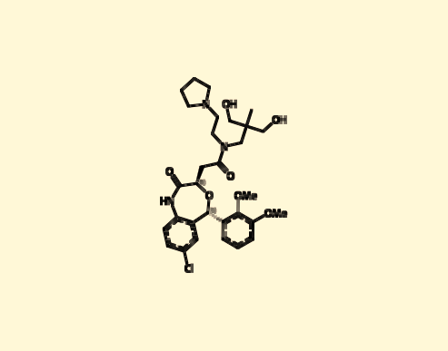 COc1cccc([C@H]2O[C@H](CC(=O)N(CCN3CCCC3)CC(C)(CO)CO)C(=O)Nc3ccc(Cl)cc32)c1OC